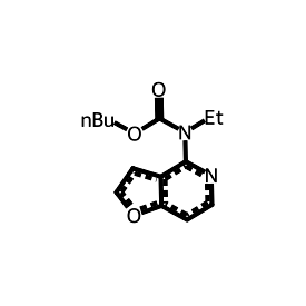 CCCCOC(=O)N(CC)c1nccc2occc12